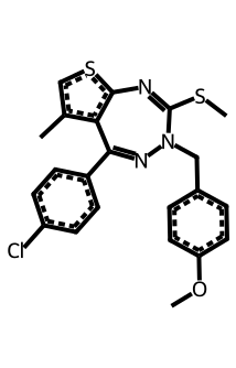 COc1ccc(CN2N=C(c3ccc(Cl)cc3)c3c(C)csc3N=C2SC)cc1